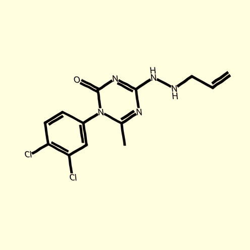 C=CCNNc1nc(C)n(-c2ccc(Cl)c(Cl)c2)c(=O)n1